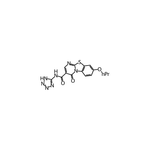 CCCOc1ccc2c(c1)sc1ncc(C(=O)Nc3nnn[nH]3)c(=O)n12